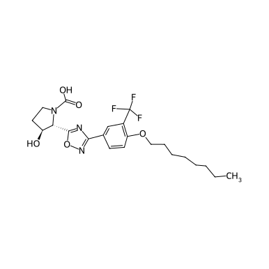 CCCCCCCCOc1ccc(-c2noc([C@@H]3[C@@H](O)CCN3C(=O)O)n2)cc1C(F)(F)F